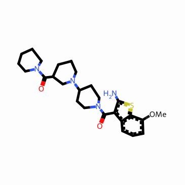 COc1cccc2c(C(=O)N3CCC(N4CCCC(C(=O)N5CCCCC5)C4)CC3)c(N)sc12